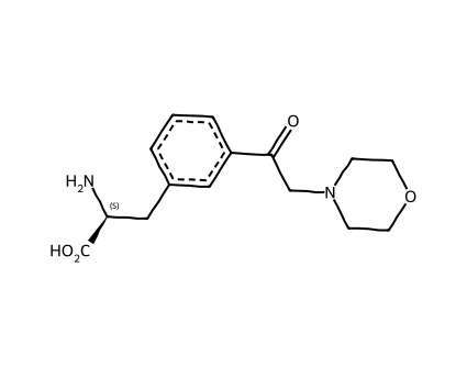 N[C@@H](Cc1cccc(C(=O)CN2CCOCC2)c1)C(=O)O